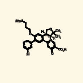 COCCCOc1cc2c(cc1-c1cccc(Cl)c1)-c1cc(=O)c(C(=O)O)cn1[C@H]1[C@@H]2COC1(C)C